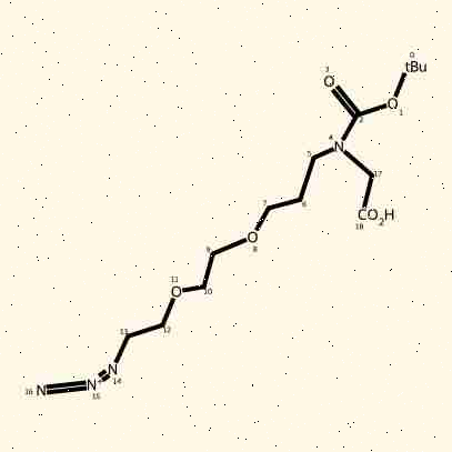 CC(C)(C)OC(=O)N(CCCOCCOCCN=[N+]=[N-])CC(=O)O